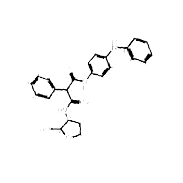 O=C(Nc1ccc(Nc2ccccc2)cc1)C(C(=O)N[C@H]1CCOC1O)c1ccccc1